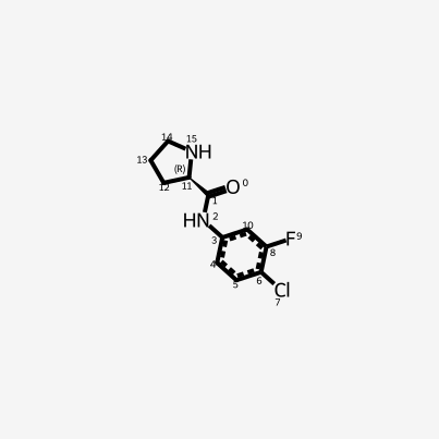 O=C(Nc1ccc(Cl)c(F)c1)[C@H]1CCCN1